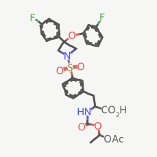 CC(=O)OC(C)OC(=O)NC(Cc1cccc(S(=O)(=O)N2CC(Oc3cccc(F)c3)(c3ccc(F)cc3)C2)c1)C(=O)O